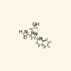 NC(=O)c1cc(-c2ccc3ccccc3n2)nn1CCO